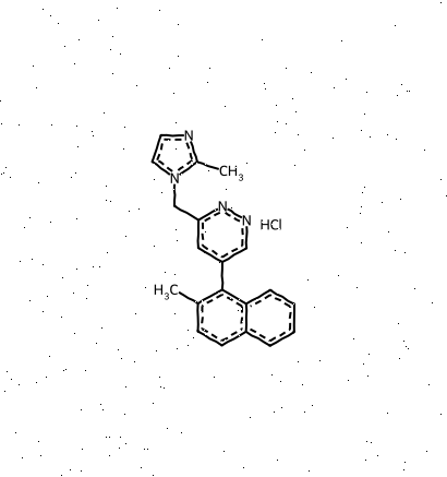 Cc1ccc2ccccc2c1-c1cnnc(Cn2ccnc2C)c1.Cl